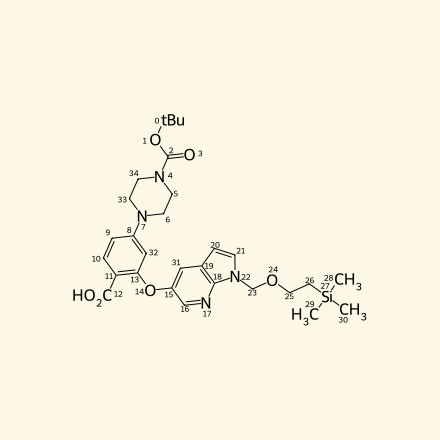 CC(C)(C)OC(=O)N1CCN(c2ccc(C(=O)O)c(Oc3cnc4c(ccn4COCC[Si](C)(C)C)c3)c2)CC1